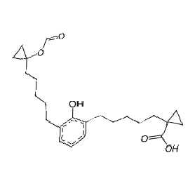 O=COC1(CCCCCc2cccc(CCCCCC3(C(=O)O)CC3)c2O)CC1